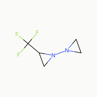 FC(F)(F)C1CN1N1CC1